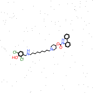 O=C(Nc1ccccc1-c1ccccc1)OC1CCN(CCCCCCCCCNCc2ccc(Cl)c(O)c2Cl)CC1